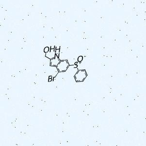 [O-][S+](c1ccccc1)c1cc(Br)c2cc(CO)[nH]c2c1